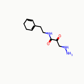 NNCC(=O)C(=O)NCCC1=CCCC=C1